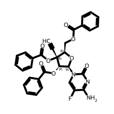 C#C[C@@]1(OC(=O)c2ccccc2)[C@@H](COC(=O)c2ccccc2)O[C@@H](n2cc(F)c(N)nc2=O)[C@@H]1OC(=O)c1ccccc1